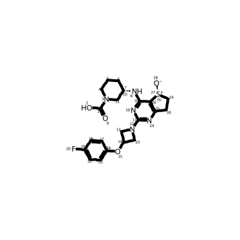 O=C(O)N1CCC[C@H](Nc2nc(N3CC(Oc4ccc(F)cc4)C3)nc3c2[S@+]([O-])CC3)C1